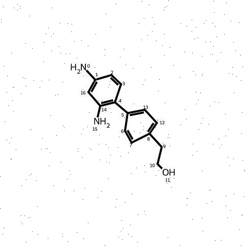 Nc1ccc(-c2ccc(CCO)cc2)c(N)c1